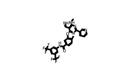 CNc1nc(-c2cccnc2)nc(Oc2cc(C(=O)Nc3cc(C(F)(F)F)cc(C(F)(F)F)c3)ccc2C)c1C=N